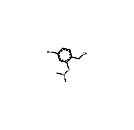 C[SiH](C)Oc1cc(C(C)(C)C)ccc1CO